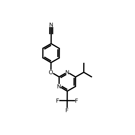 CC(C)c1cc(C(F)(F)F)nc(Oc2ccc(C#N)cc2)n1